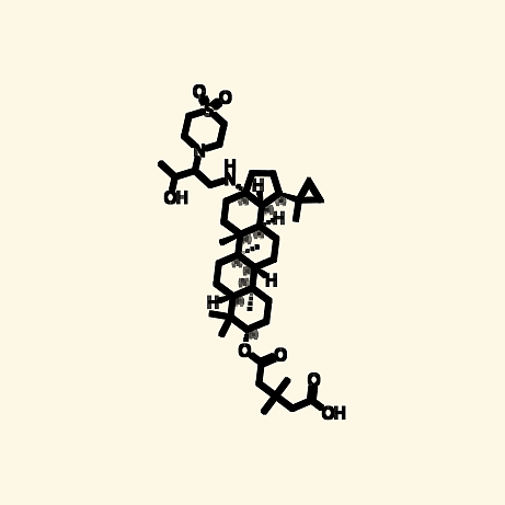 CC(O)C(CN[C@]12CC[C@@H](C3(C)CC3)[C@@H]1[C@H]1CC[C@@H]3[C@@]4(C)CC[C@H](OC(=O)CC(C)(C)CC(=O)O)C(C)(C)[C@@H]4CC[C@@]3(C)[C@]1(C)CC2)N1CCS(=O)(=O)CC1